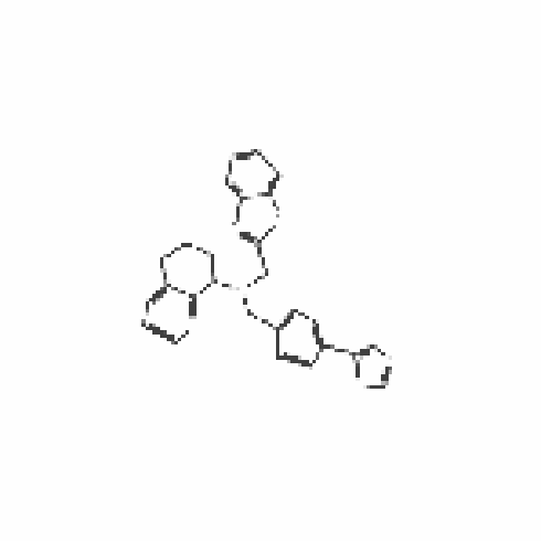 c1cnc2c(c1)CCCC2N(Cc1ccc(-c2cnco2)cc1)Cc1nc2ccccc2[nH]1